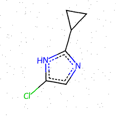 Clc1cnc(C2CC2)[nH]1